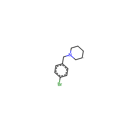 Brc1ccc(CN2C[CH]CCC2)cc1